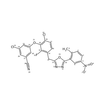 Cc1ccc([N+](=O)[O-])cc1-c1nnc(Cc2ccc(Cl)c(Oc3cc(Cl)cc(C#N)c3)c2F)o1